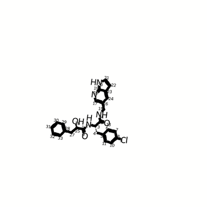 O=C(N[C@@H](Cc1ccc(Cl)cc1)C(=O)NCc1cnc2[nH]ccc2c1)[C@H](O)Cc1ccccc1